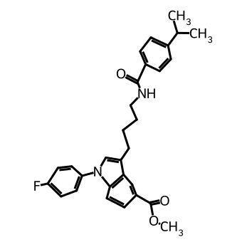 COC(=O)c1ccc2c(c1)c(CCCCNC(=O)c1ccc(C(C)C)cc1)cn2-c1ccc(F)cc1